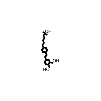 CC(C)(O)CCCCCc1ccc(C=Cc2ccc(CO)c(CO)c2)cc1